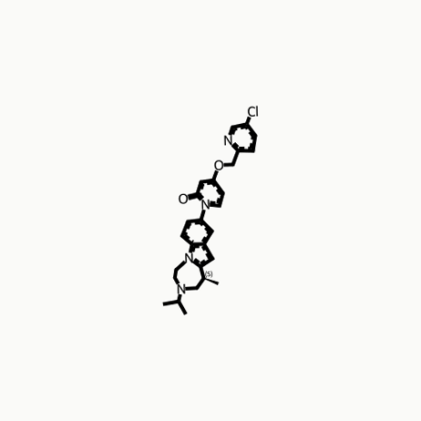 CC(C)N1CCn2c(cc3cc(-n4ccc(OCc5ccc(Cl)cn5)cc4=O)ccc32)[C@@H](C)C1